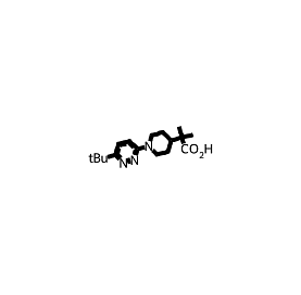 CC(C)(C)c1ccc(N2CCC(C(C)(C)C(=O)O)CC2)nn1